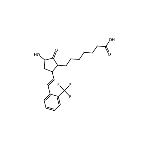 O=C(O)CCCCCCC1C(=O)C(O)CC1C=Cc1ccccc1C(F)(F)F